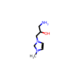 CN1C=CN(CC(O)CN)C1